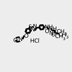 CC(C)(C)c1cc(NC(=O)Nc2ccc(-c3cn4c(n3)sc3ccc(OCCN5CCOCC5)cc34)cc2)no1.Cl